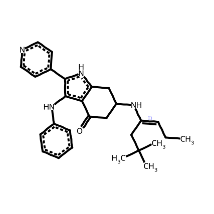 CC/C=C(\CC(C)(C)C)NC1CC(=O)c2c([nH]c(-c3ccncc3)c2Nc2ccccc2)C1